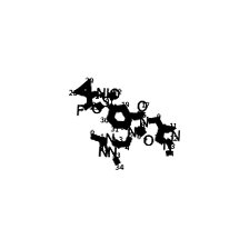 Cc1nc(Cn2c(=O)n(Cc3cnn(C)c3)c(=O)c3cc(S(=O)(=O)NC4(CF)CC4)ccc32)n(C)n1